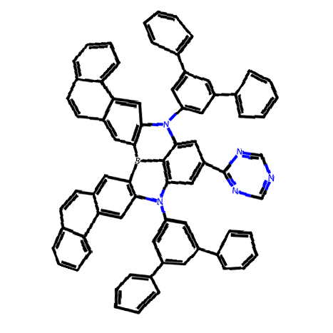 c1ccc(-c2cc(-c3ccccc3)cc(N3c4cc5c(ccc6ccccc65)cc4B4c5cc6ccc7ccccc7c6cc5N(c5cc(-c6ccccc6)cc(-c6ccccc6)c5)c5cc(-c6ncncn6)cc3c54)c2)cc1